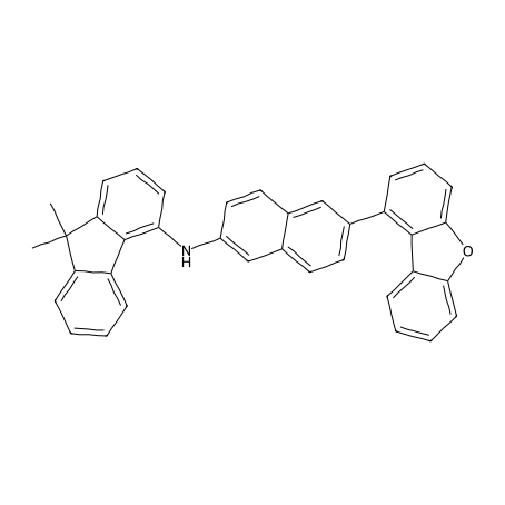 CC1(C)c2ccccc2-c2c(Nc3ccc4cc(-c5cccc6oc7ccccc7c56)ccc4c3)cccc21